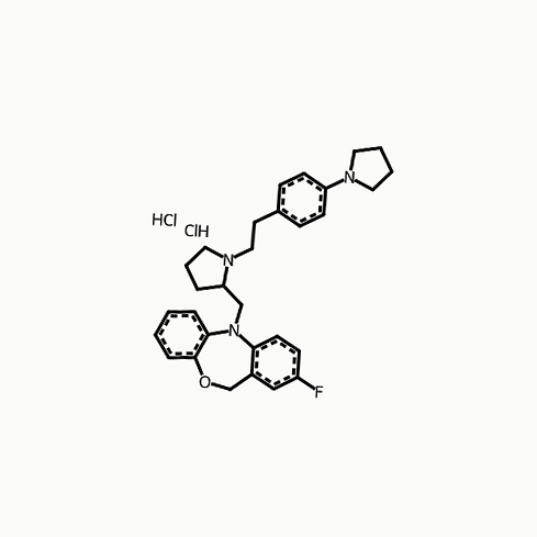 Cl.Cl.Fc1ccc2c(c1)COc1ccccc1N2CC1CCCN1CCc1ccc(N2CCCC2)cc1